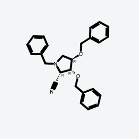 N#C[C@H]1[C@@H](OCc2ccccc2)[C@H](OCc2ccccc2)CN1Cc1ccccc1